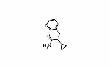 NC(=O)[C@H](Cc1cccnc1)C1CC1